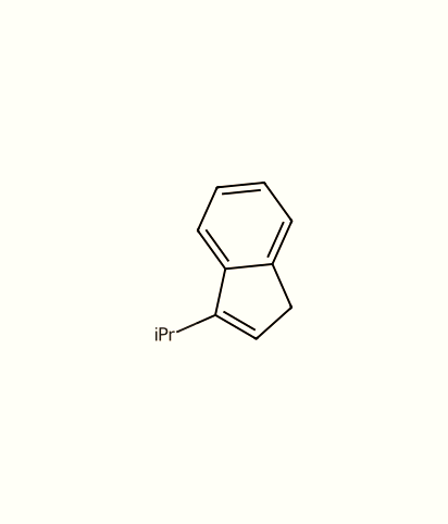 CC(C)C1=CCc2ccccc21